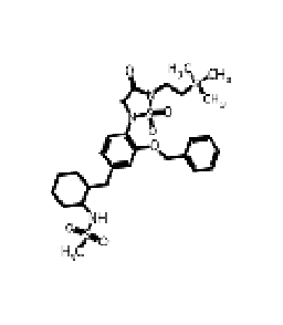 C[Si](C)(C)CCN1C(=O)CN(c2ccc(CC3CCCCC3NS(C)(=O)=O)cc2OCc2ccccc2)S1(=O)=O